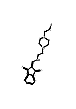 O=C1C(=CNCCN2CCN(CCO)CC2)C(=O)c2ccccc21